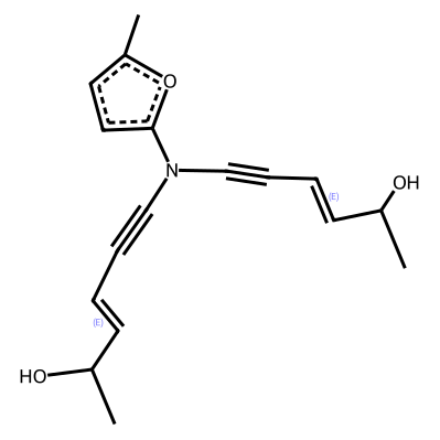 Cc1ccc(N(C#C/C=C/C(C)O)C#C/C=C/C(C)O)o1